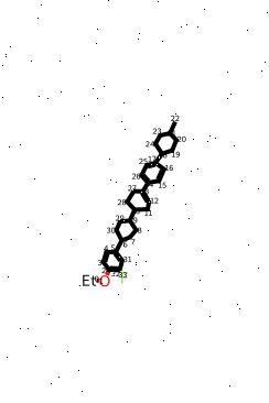 CCOc1ccc(C2CCC(C3CC=C(c4ccc(C5CCC(C)CC5)cc4)CC3)CC2)cc1F